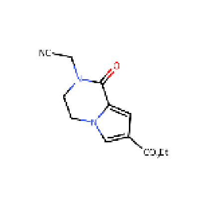 CCOC(=O)c1cc2n(c1)CCN(CC#N)C2=O